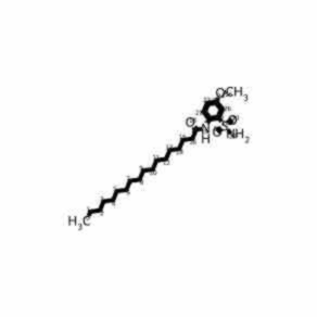 CCCCCCCCCCCCCCCCCC(=O)Nc1ccc(OC)cc1S(N)(=O)=O